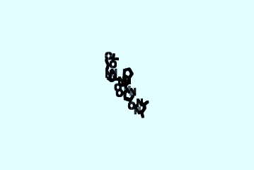 Cc1cc(C)nc(Oc2cnn(C(CC3CCCC3)C(=O)Nc3ccn(CC4COC(C)(C)O4)n3)c(=O)c2)n1